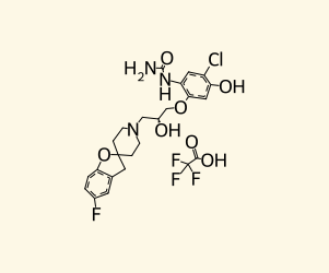 NC(=O)Nc1cc(Cl)c(O)cc1OC[C@@H](O)CN1CCC2(CC1)Cc1cc(F)ccc1O2.O=C(O)C(F)(F)F